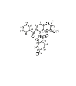 CC1(C)Oc2ccc(C(=O)c3ccccc3)cc2[C@@H](Oc2noc3cc(Cl)ccc23)[C@@H]1O